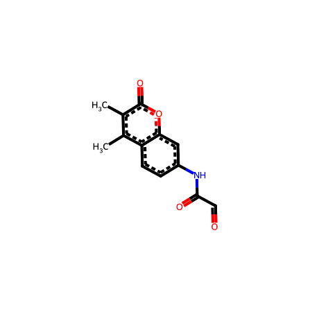 Cc1c(C)c2ccc(NC(=O)C=O)cc2oc1=O